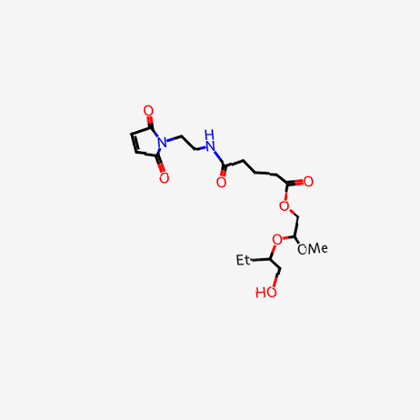 CCC(CO)OC(COC(=O)CCCC(=O)NCCN1C(=O)C=CC1=O)OC